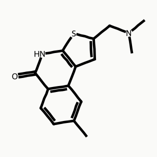 Cc1ccc2c(=O)[nH]c3sc(CN(C)C)cc3c2c1